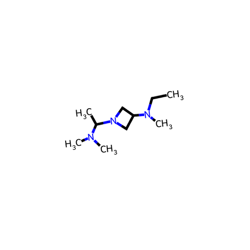 CCN(C)C1CN(C(C)N(C)C)C1